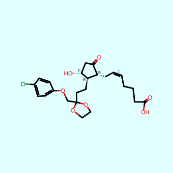 O=C(O)CCC/C=C\C[C@H]1C(=O)C[C@@H](O)[C@@H]1CCC1(COc2ccc(Cl)cc2)OCCO1